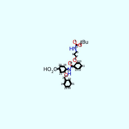 CC(C)(C)OC(=O)NCCCOc1ccccc1C(=O)Nc1ccc(C(=O)O)cc1OCc1ccccc1